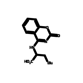 CC(C)(C)CC(Nc1nc(=O)oc2ccccc12)C(=O)O